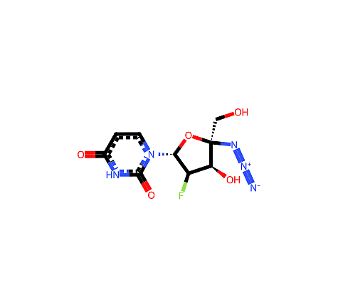 [N-]=[N+]=N[C@]1(CO)O[C@@H](n2ccc(=O)[nH]c2=O)C(F)[C@@H]1O